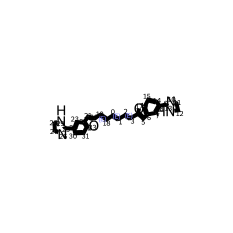 C(=C\C=C\c1cc2cc(C3=NCCN3)ccc2o1)/C=C/c1cc2cc(C3=NCCN3)ccc2o1